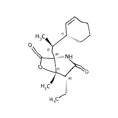 CC[C@H]1C(=O)N[C@@]2([C@@H](C)[C@@H]3C=CCCC3)C(=O)O[C@@]12C